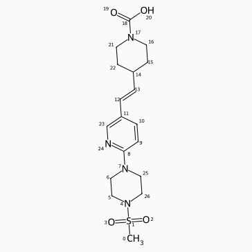 CS(=O)(=O)N1CCN(c2ccc(C=CC3CCN(C(=O)O)CC3)cn2)CC1